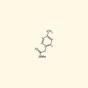 [CH2]NC(=O)Cc1ccc(C)cc1